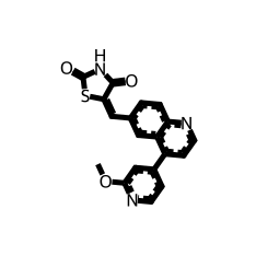 COc1cc(-c2ccnc3ccc(C=C4SC(=O)NC4=O)cc23)ccn1